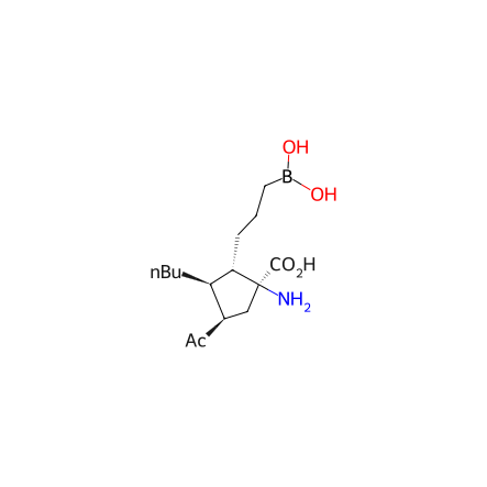 CCCC[C@@H]1[C@H](C(C)=O)C[C@@](N)(C(=O)O)[C@H]1CCCB(O)O